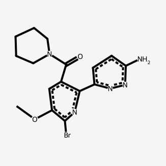 COc1cc(C(=O)N2CCCCC2)c(-c2ccc(N)nn2)nc1Br